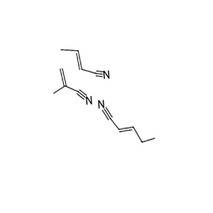 C=C(C)C#N.CC=CC#N.CCC=CC#N